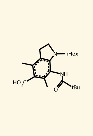 CCCCCCN1CCc2c(C)c(C(=O)O)c(C)c(NC(=O)C(C)(C)C)c21